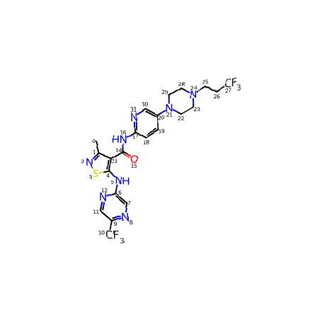 Cc1nsc(Nc2cnc(C(F)(F)F)cn2)c1C(=O)Nc1ccc(N2CCN(CCC(F)(F)F)CC2)cn1